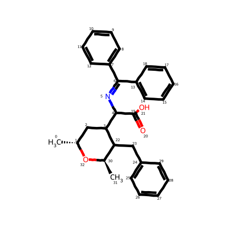 C[C@@H]1CC(C(N=C(c2ccccc2)c2ccccc2)C(=O)O)C(Cc2ccccc2)[C@@H](C)O1